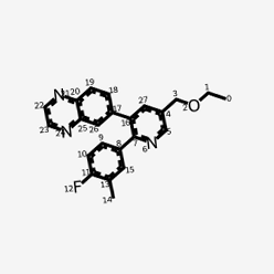 CCOCc1cnc(-c2ccc(F)c(C)c2)c(-c2ccc3nccnc3c2)c1